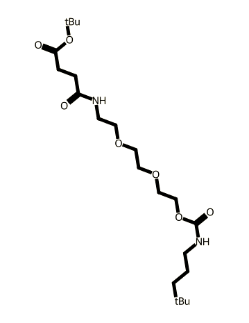 CC(C)(C)CCCNC(=O)OCCOCCOCCNC(=O)CCC(=O)OC(C)(C)C